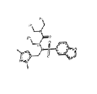 Cc1cc(CN([C@@H](CC(C)C)C(=O)N(CC(C)C)CC(C)C)S(=O)(=O)c2ccc3occc3c2)n(C)n1